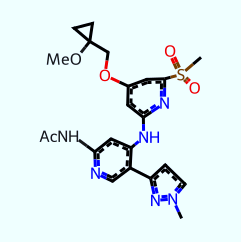 COC1(COc2cc(Nc3cc(NC(C)=O)ncc3-c3ccn(C)n3)nc(S(C)(=O)=O)c2)CC1